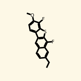 CCc1ccc2cc3c(sc4c(F)c(OC)ccc43)c(F)c2c1